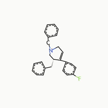 Fc1ccc(C2=CCN(Cc3ccccc3)C[C@H]2Cc2ccccc2)cc1